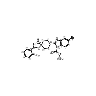 CC(C)(C)OC(=O)n1c2ccc(Br)cc2nc1[C@H]1CC[C@@](O)(CNc2ccccc2F)CC1